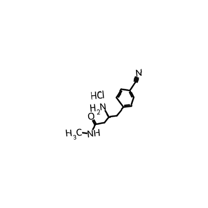 CNC(=O)CC(N)Cc1ccc(C#N)cc1.Cl